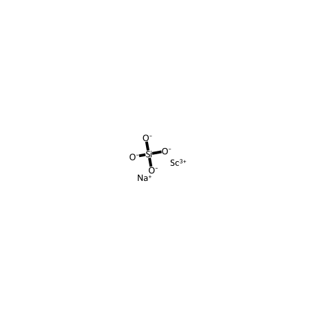 [Na+].[O-][Si]([O-])([O-])[O-].[Sc+3]